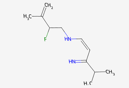 C=C(C)C(F)CN/C=C\C(=N)C(C)C